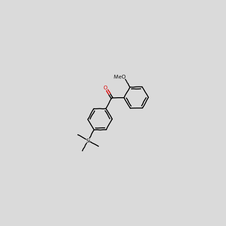 COc1ccccc1C(=O)c1ccc([Si](C)(C)C)cc1